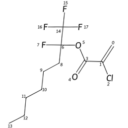 C=C(Cl)C(=O)OC(F)(CCCCCC)C(F)(F)F